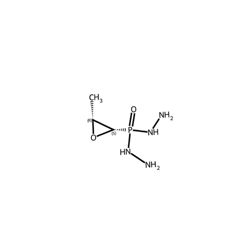 C[C@H]1O[C@H]1P(=O)(NN)NN